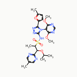 COc1ncnc(OC)c1-n1c(NS(=O)(=O)C(C)C(OC(C)C)c2ncc(C)cn2)nnc1-c1ccc(C)o1